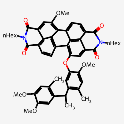 CCCCCCN1C(=O)c2ccc3c4c(Oc5cc(C(C)c6cc(OC)c(OC)cc6C)c(C)cc5OC)cc5c6c(ccc(c7c(OC)cc(c2c37)C1=O)c64)C(=O)N(CCCCCC)C5=O